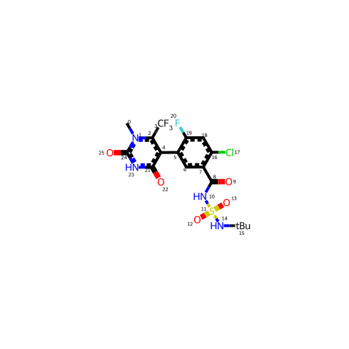 Cn1c(C(F)(F)F)c(-c2cc(C(=O)NS(=O)(=O)NC(C)(C)C)c(Cl)cc2F)c(=O)[nH]c1=O